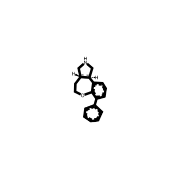 c1ccc(-c2cccc3c2OCC[C@@H]2CNC[C@@H]32)cc1